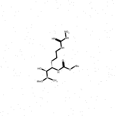 CON(C)[C@@H](O)[C@H](CCCNC(=N)N[N+](=O)[O-])NC(=O)OC(C)(C)C